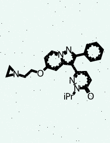 CC(C)n1nc(-c2c(-c3ccccc3)nn3ccc(OCCN4CC4)cc23)ccc1=O